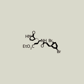 CCOC(=O)C=C[C@H](C[C@@H]1CCNC1=O)NC(=O)C=Cc1cc(Br)ccc1Br